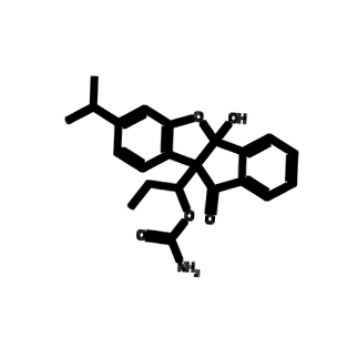 CCC(OC(N)=O)C12C(=O)c3ccccc3C1(O)Oc1cc(C(C)C)ccc12